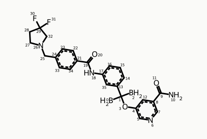 BC(B)(Oc1cncc(C(N)=O)c1)c1cccc(NC(=O)c2ccc(CN3CCC(F)(F)C3)cc2)c1